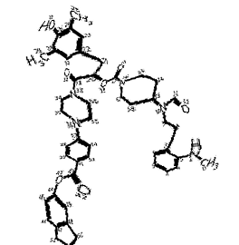 CNc1ccccc1CCN(C=O)C1CCN(C(=O)O[C@H](Cc2cc(C)c(O)c(C)c2)C(=O)N2CCN(c3ccc(C(=O)Oc4ccc5c(c4)CCC5)cc3)CC2)CC1